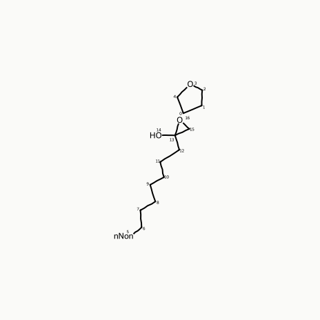 C1CCOC1.CCCCCCCCCCCCCCCCC1(O)CO1